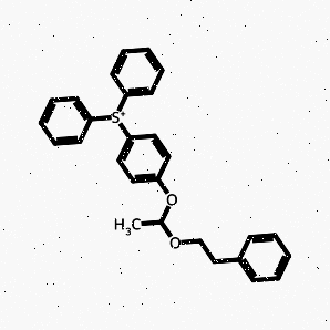 CC(OCCc1ccccc1)Oc1ccc([S+](c2ccccc2)c2ccccc2)cc1